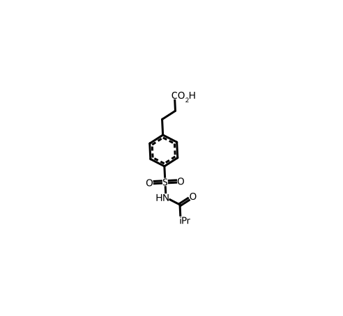 CC(C)C(=O)NS(=O)(=O)c1ccc(CCC(=O)O)cc1